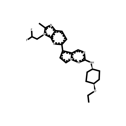 CCO[C@H]1CC[C@@H](Nc2ncc3c(-c4ccc5nc(C)n(CC(F)F)c5n4)ccn3n2)CC1